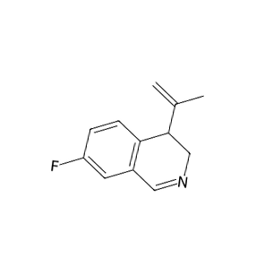 C=C(C)C1CN=Cc2cc(F)ccc21